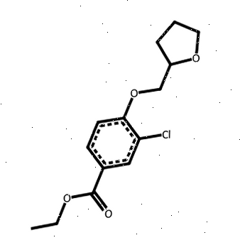 CCOC(=O)c1ccc(OCC2CCCO2)c(Cl)c1